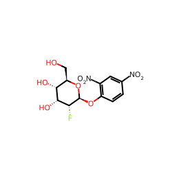 O=[N+]([O-])c1ccc(O[C@@H]2O[C@H](CO)[C@@H](O)[C@@H](O)[C@H]2F)c([N+](=O)[O-])c1